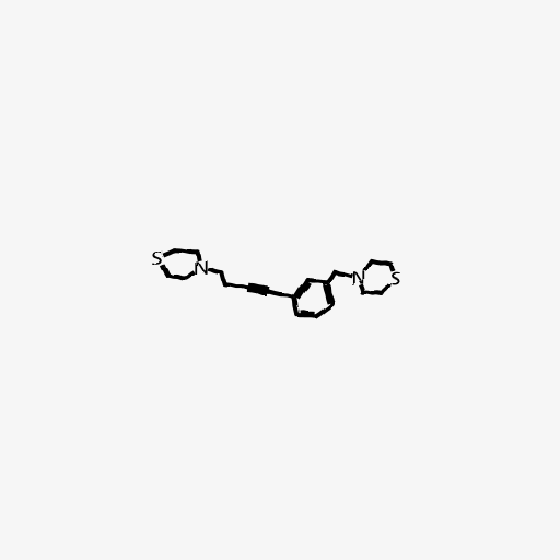 C(#Cc1cccc(CN2CCSCC2)c1)CCN1CCSCC1